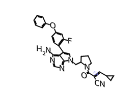 N#C/C(=C\C1CC1)C(=O)N1CCCC1Cn1cc(-c2ccc(Oc3ccccc3)cc2F)c2c(N)ncnc21